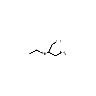 CCNC(CN)CO